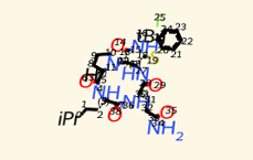 CC(C)CC[C@@H]1NC(=O)[C@@H]2CCCN2[C@H](C(=O)NC(C)(C)C)[C@H](CSc2cccc(F)c2)NC(=O)[C@H](CCC(N)=O)NC1=O